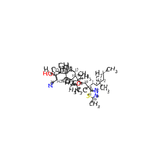 CCCC(C)(C)CC[C@@](C)(CCC(C)(C)[C@]1(C)CC[C@H]2C(C)(C)C(O)=C(C#N)C[C@]2(C)[C@H]1CC(C)=O)c1nnc(C)s1